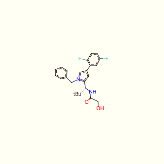 CC(C)(C)[C@@H](NC(=O)CO)c1cc(-c2cc(F)ccc2F)cn1Cc1ccccc1